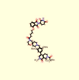 CNC(=O)N1CCc2c(-c3cc(OC)c(CN4CCC5(CC4)CN(C(=O)CCCCOc4cccc6c4C(=O)N(C4CCC(=O)NC4=O)C6=O)CCO5)c(OC)c3)cn(C)c(=O)c2C1C(=O)O